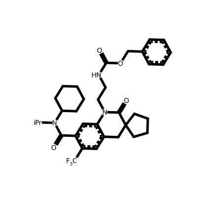 CC(C)N(C(=O)c1cc2c(cc1C(F)(F)F)CC1(CCCC1)C(=O)N2CCNC(=O)OCc1ccccc1)C1CCCCC1